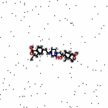 Cc1c([C@@H](O)CN2CCN(CCc3ccc4c(c3)C[C@@H](C)OC4=O)CC2)ccc2c1COC2=O